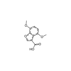 COc1ccc(OC)c2c(C(=O)O)coc12